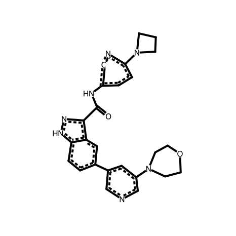 O=C(Nc1ccc(N2CCC2)nc1)c1n[nH]c2ccc(-c3cncc(N4CCOCC4)c3)cc12